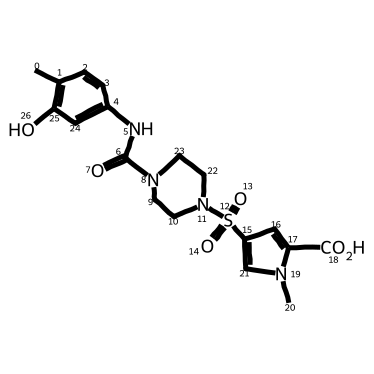 Cc1ccc(NC(=O)N2CCN(S(=O)(=O)c3cc(C(=O)O)n(C)c3)CC2)cc1O